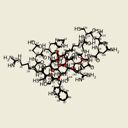 C[C@H](NC(=O)[C@H](Cc1c[nH]cn1)NC(=O)[C@H](CC(=O)O)NC(=O)[C@H](CCCNC(=N)N)NC(=O)[C@H](CS)NC(=O)[C@H](Cc1c[nH]c2ccccc12)NC(=O)[C@H](CCCCN)NC(=O)[C@H](CO)NC(=O)[C@H](CO)NC(=O)[C@H](CS)NC(=O)CNC(=O)[C@H](CCCCN)NC(=O)[C@@H]1CCCN1C(=O)CNC(=O)[C@H](CC(N)=O)NC(=O)[C@H](CS)NC(=O)[C@H](CS)NC(=O)CNC(=O)[C@@H]1CCC(=O)N1)C(=O)N[C@@H](CCCNC(=N)N)C(=O)O